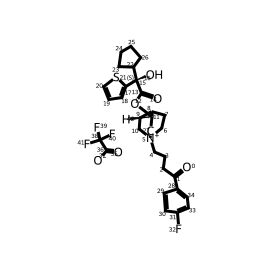 O=C(CCC[N+]12CCC(CC1)[C@@H](OC(=O)[C@](O)(c1cccs1)C1CCCC1)C2)c1ccc(F)cc1.O=C([O-])C(F)(F)F